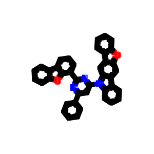 c1ccc(-c2cc(-n3c4ccccc4c4cc5oc6ccccc6c5cc43)nc(-c3cccc4c3oc3ccccc34)n2)cc1